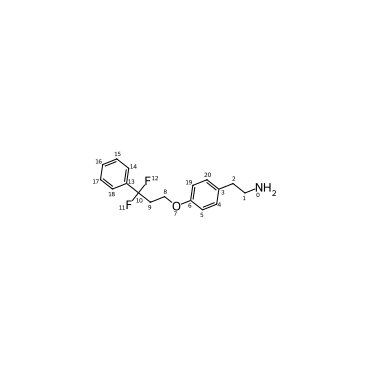 NCCc1ccc(OCCC(F)(F)c2ccccc2)cc1